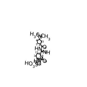 CN(C)C1CCC(C(=O)NC(=N)[C@@H]2CC[C@@H]3CN2C(=O)N3OS(=O)(=O)O)C1